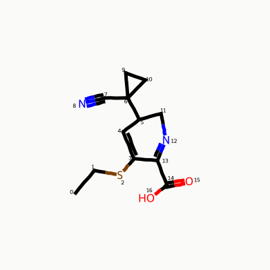 CCSC1=CC(C2(C#N)CC2)CN=C1C(=O)O